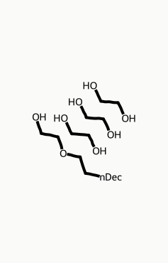 CCCCCCCCCCCCOCCO.OCCO.OCCO.OCCO